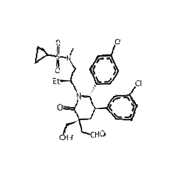 CC[C@@H](CN(C)S(=O)(=O)C1CC1)N1C(=O)[C@@](CO)(CC=O)C[C@H](c2cccc(Cl)c2)[C@H]1c1ccc(Cl)cc1